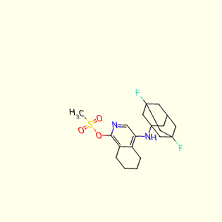 CS(=O)(=O)Oc1ncc(NC23CC4CC(F)(CC(F)(C4)C2)C3)c2c1CCCC2